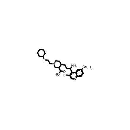 COc1ccc2ncc(Cl)c(C(N)CCC3CCN(CCSC4CCCCC4)CC3C(=O)O)c2c1